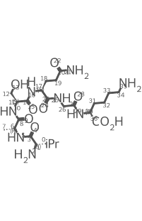 CC(C)[C@H](N)C(=O)N[C@H](C)C(=O)N[C@@H](CO)C(=O)N[C@@H](CCC(N)=O)C(=O)NCC(=O)N[C@@H](CCCCN)C(=O)O